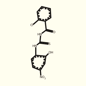 O=C(NC(=S)Nc1ccc([N+](=O)[O-])cc1O)c1ccccc1Cl